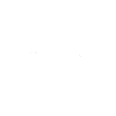 CN(C)C(=O)CC(=O)[CH]CCN